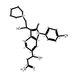 Cc1c(C(O)CN2CCCCC2)c2ncc(C(O)CC(N)=O)cc2n1-c1ccc(C#N)cc1